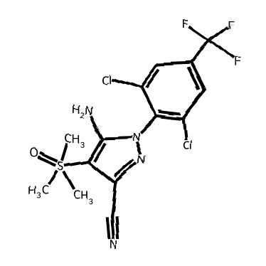 CS(C)(C)(=O)c1c(C#N)nn(-c2c(Cl)cc(C(F)(F)F)cc2Cl)c1N